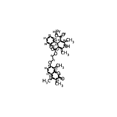 CC1=C(C(=O)OCCOc2ccc3c(C)c(C)c(=O)oc3c2C)C(c2ccccc2C(F)(F)F)C(C(=O)OC(C)C)=C(C)N1